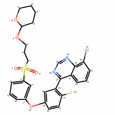 O=S(=O)(CCCOC1CCCCO1)c1cccc(Oc2ccc(F)c(-c3ncnc4c(Cl)cccc34)c2)c1